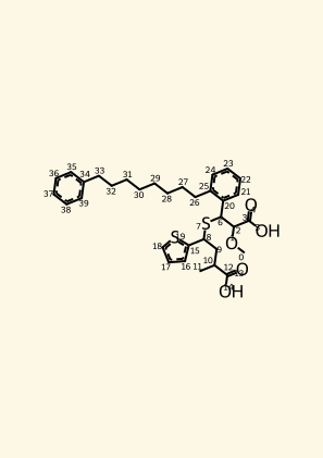 COC(C(=O)O)C(SC(CC(C)C(=O)O)c1cccs1)c1ccccc1CCCCCCCCc1ccccc1